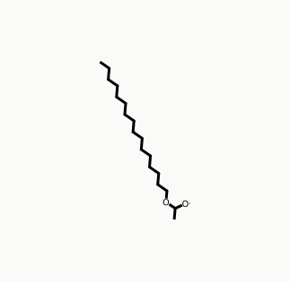 CCCCCCCCCCCCCCCCOC(C)[O]